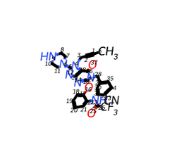 CC#CCn1c(N2CCNCC2)nc2nc(Oc3ccccc3NC(=O)C(F)(F)F)n(Cc3ccc(C#N)cc3)c(=O)c21